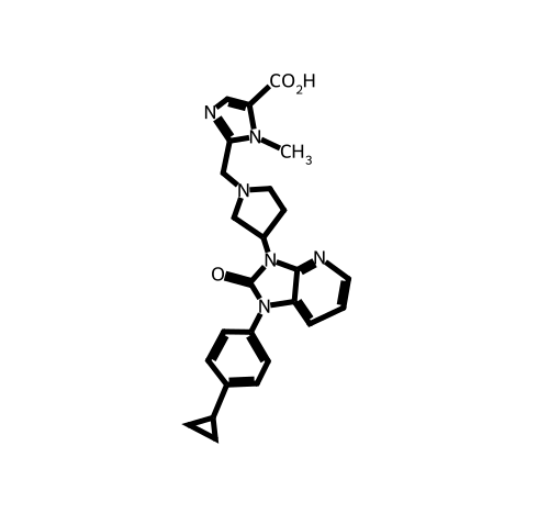 Cn1c(C(=O)O)cnc1CN1CCC(n2c(=O)n(-c3ccc(C4CC4)cc3)c3cccnc32)C1